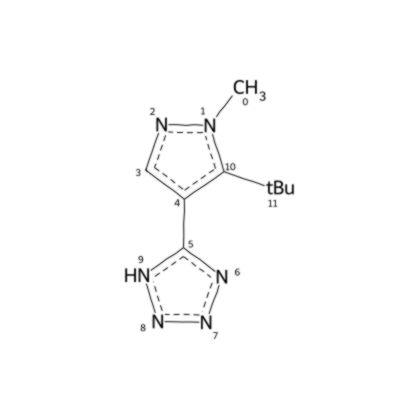 Cn1ncc(-c2nnn[nH]2)c1C(C)(C)C